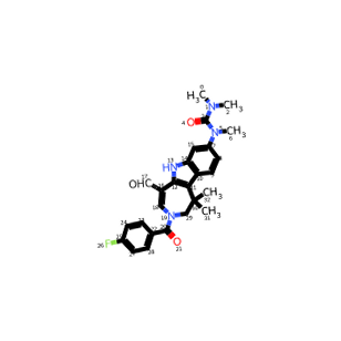 CN(C)C(=O)N(C)c1ccc2c3c([nH]c2c1)C(C=O)=CN(C(=O)c1ccc(F)cc1)CC3(C)C